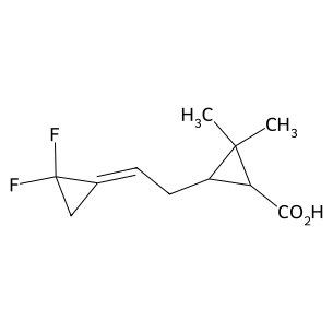 CC1(C)C(CC=C2CC2(F)F)C1C(=O)O